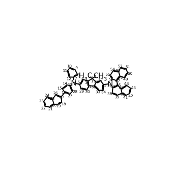 CC1(C)c2cc(N(c3ccccc3)c3ccc(-c4ccc5ccccc5c4)cc3)ccc2-c2ccc(-n3c4ccc5ccccc5c4c4c5ccccc5ccc43)cc21